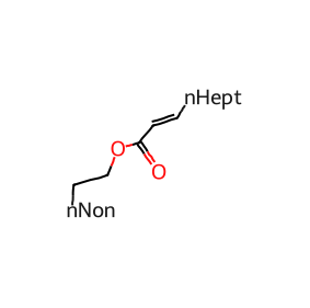 CCCCCCC/C=C/C(=O)OCCCCCCCCCCC